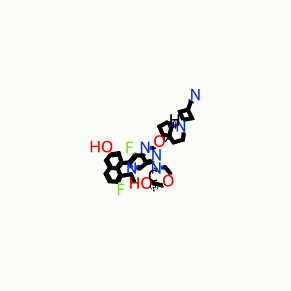 CCc1c(F)ccc2cc(O)cc(-c3ncc4c(N5CCOC[C@@](C)(O)C5)nc(OC[C@]56CCC[C@H]5N(C5CC(C#N)C5)CCC6)nc4c3F)c12